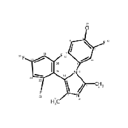 Cc1nc(C)n(-c2ccc(Cl)c(F)c2)c1-c1c(F)cc(F)cc1F